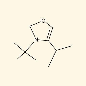 CC(C)C1=COCN1C(C)(C)C